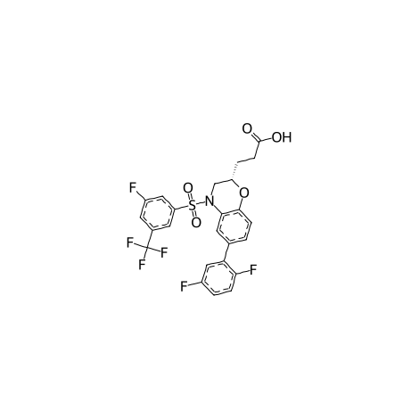 O=C(O)CC[C@H]1CN(S(=O)(=O)c2cc(F)cc(C(F)(F)F)c2)c2cc(-c3cc(F)ccc3F)ccc2O1